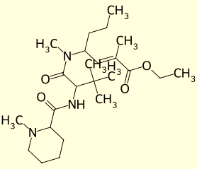 CCCC(/C=C(\C)C(=O)OCC)N(C)C(=O)C(NC(=O)C1CCCCN1C)C(C)(C)C